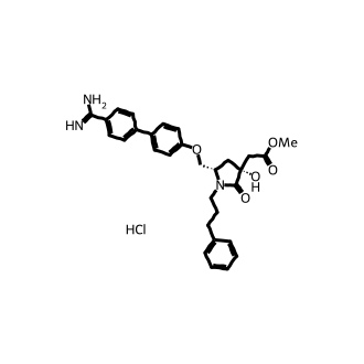 COC(=O)C[C@]1(O)C[C@@H](COc2ccc(-c3ccc(C(=N)N)cc3)cc2)N(CCCc2ccccc2)C1=O.Cl